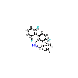 CC1(C)CNCc2c(-c3c(F)cccc3F)ccc(F)c21